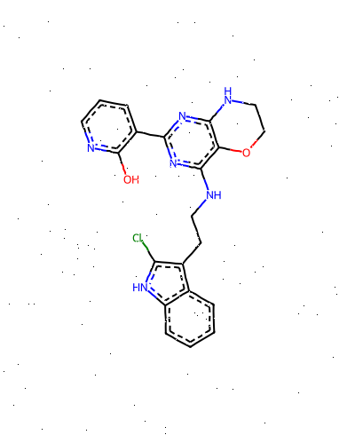 Oc1ncccc1-c1nc2c(c(NCCc3c(Cl)[nH]c4ccccc34)n1)OCCN2